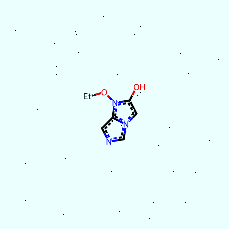 CCOn1c(O)cn2cncc12